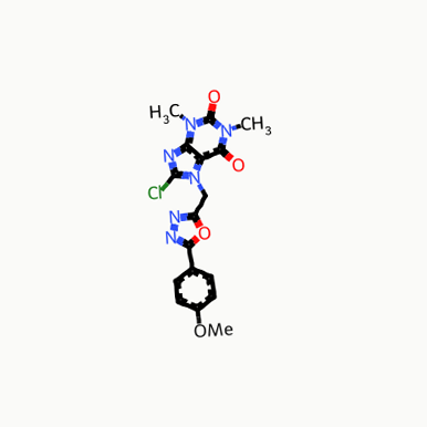 COc1ccc(-c2nnc(Cn3c(Cl)nc4c3c(=O)n(C)c(=O)n4C)o2)cc1